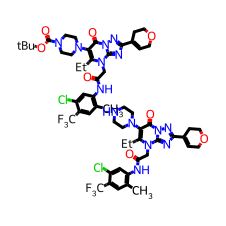 CCc1c(N2CCN(C(=O)OC(C)(C)C)CC2)c(=O)n2nc(C3=CCOCC3)nc2n1CC(=O)Nc1cc(Cl)c(C(F)(F)F)cc1C.CCc1c(N2CCNCC2)c(=O)n2nc(C3=CCOCC3)nc2n1CC(=O)Nc1cc(Cl)c(C(F)(F)F)cc1C